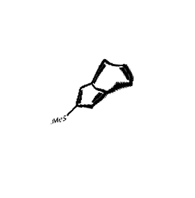 CSC1=CC2=CC=CC2=C1